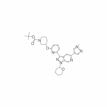 Cn1cc(-c2cc3c(-c4cccc(OC5CCCN(C(=O)OC(C)(C)C)C5)n4)nn(C4CCCCO4)c3cn2)cn1